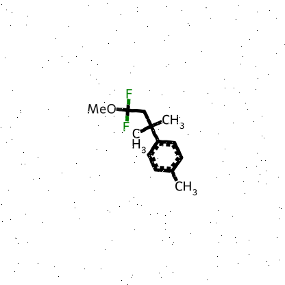 COC(F)(F)CC(C)(C)c1ccc(C)cc1